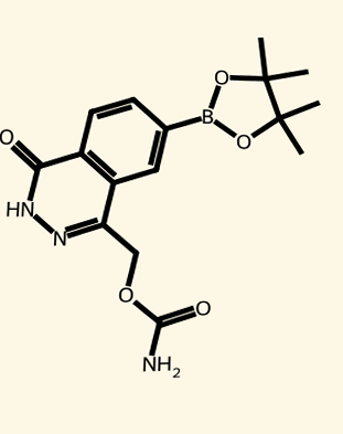 CC1(C)OB(c2ccc3c(=O)[nH]nc(COC(N)=O)c3c2)OC1(C)C